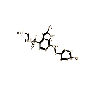 CC(=O)c1cc2c(S(=O)(=O)NCC(=O)O)ccc(OCc3ccc(Cl)cc3)c2o1